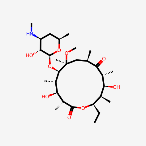 CC[C@H]1OC(=O)[C@H](C)[C@@H](O)[C@H](C)[C@@H](O[C@@H]2O[C@H](C)C[C@H](NC)[C@H]2O)[C@@](C)(OC)C[C@@H](C)C(=O)[C@H](C)[C@@H](O)[C@H]1C